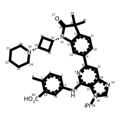 Cc1ccc(Nc2nc(-c3ccc4c(c3)N([C@H]3C[C@@H](N5CCCCC5)C3)C(=O)C4(C)C)cc3ncn(C(C)C)c23)cc1C(=O)O